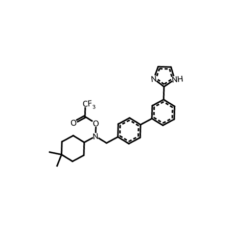 CC1(C)CCC(N(Cc2ccc(-c3cccc(-c4ncc[nH]4)c3)cc2)OC(=O)C(F)(F)F)CC1